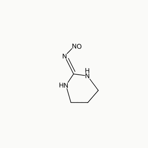 O=NN=C1NCCCN1